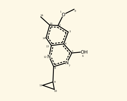 COc1cc2c(O)nc(C3CC3)nc2cc1C